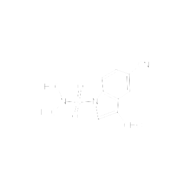 CN(C)S(=O)(=O)n1cc(C=O)c2cc(C#N)ccc21